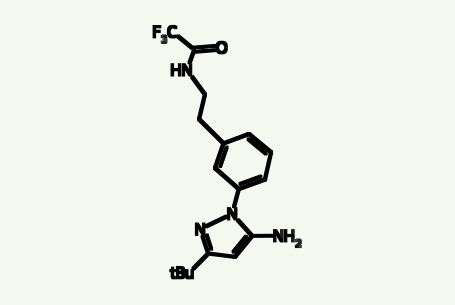 CC(C)(C)c1cc(N)n(-c2cccc(CCNC(=O)C(F)(F)F)c2)n1